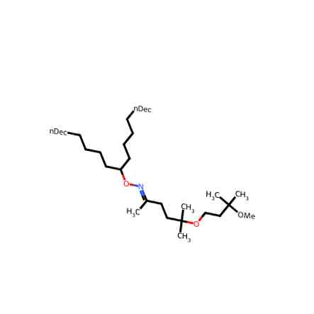 CCCCCCCCCCCCCCC(CCCCCCCCCCCCCC)O/N=C(\C)CCC(C)(C)OCCC(C)(C)OC